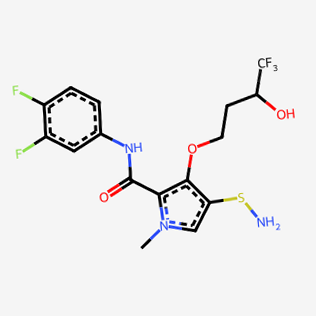 Cn1cc(SN)c(OCCC(O)C(F)(F)F)c1C(=O)Nc1ccc(F)c(F)c1